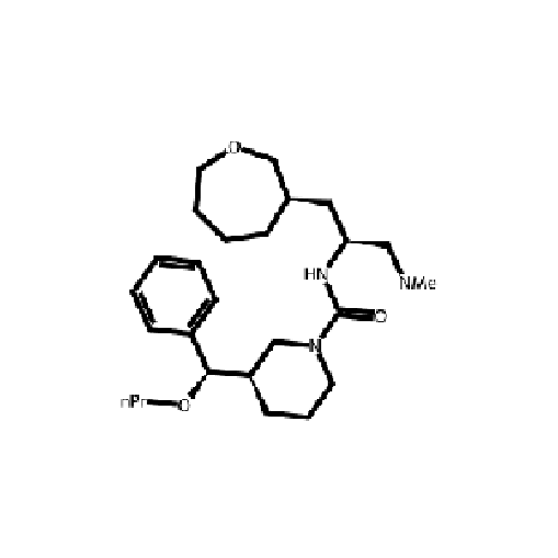 C[CH]CO[C@@H](c1ccccc1)[C@@H]1CCCN(C(=O)N[C@H](CNC)C[C@H]2CCCCOC2)C1